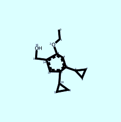 CCOc1cc(C2CC2)c(C2CC2)cc1CO